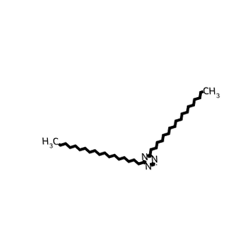 CCCCCCCCCCCCCCCCCCc1n[c]nc(CCCCCCCCCCCCCCCCCC)n1